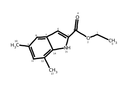 CCOC(=O)c1cc2cc(C)cc(C)c2[nH]1